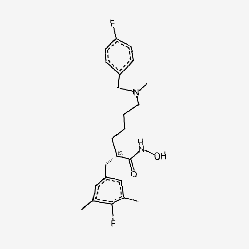 Cc1cc(C[C@H](CCCCN(C)Cc2ccc(F)cc2)C(=O)NO)cc(C)c1F